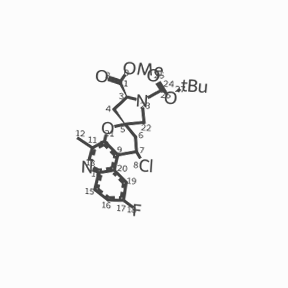 COC(=O)[C@@H]1C[C@]2(CC(Cl)c3c(c(C)nc4ccc(F)cc34)O2)CN1C(=O)OC(C)(C)C